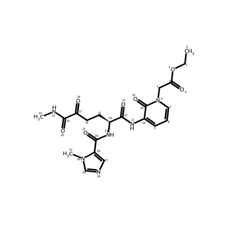 CCOC(=O)Cn1cccc(NC(=O)[C@H](CCC(=O)C(=O)NC)NC(=O)c2cncn2C)c1=O